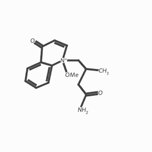 CO[N+]1(CC(C)CC(N)=O)C=CC(=O)c2ccccc21